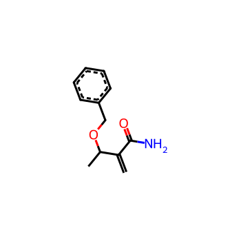 C=C(C(N)=O)C(C)OCc1ccccc1